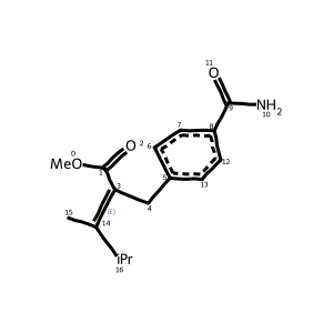 COC(=O)/C(Cc1ccc(C(N)=O)cc1)=C(\C)C(C)C